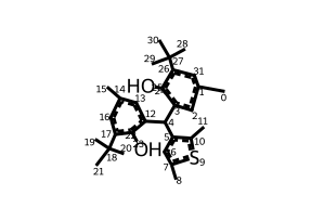 Cc1cc(C(c2cc(C)sc2C)c2cc(C)cc(C(C)(C)C)c2O)c(O)c(C(C)(C)C)c1